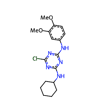 COc1ccc(Nc2nc(Cl)nc(NC3CCCCC3)n2)cc1OC